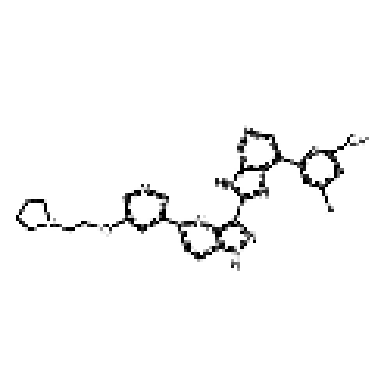 Oc1cc(F)cc(-c2cncc3[nH]c(-c4n[nH]c5ccc(-c6cncc(OCCN7CCCC7)c6)nc45)nc23)c1